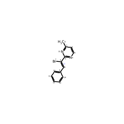 Cc1ccnc(/C(Br)=C/c2ccccc2)n1